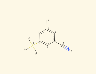 Cc1cc(C#N)cc(S(C)(C)C)c1